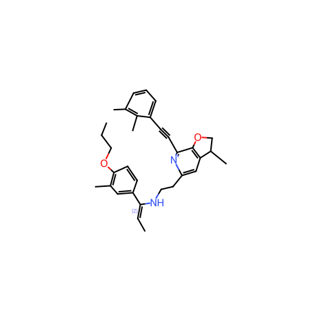 C/C=C(\NCCc1cc2c(c(C#Cc3cccc(C)c3C)n1)OCC2C)c1ccc(OCCC)c(C)c1